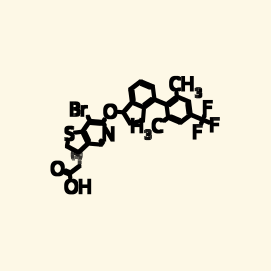 Cc1cc(C(F)(F)F)cc(C)c1-c1cccc2c1CCC2Oc1ncc2c(c1Br)SC[C@H]2CC(=O)O